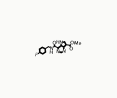 COC(=O)c1c[nH]c2c(C(=O)NCc3ccc(F)cc3)ncnc12